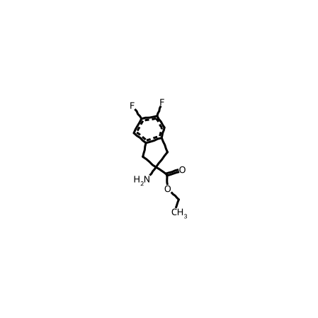 CCOC(=O)C1(N)Cc2cc(F)c(F)cc2C1